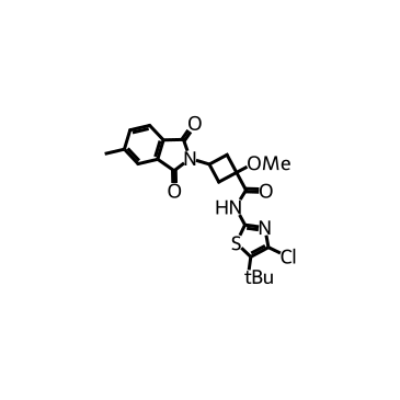 COC1(C(=O)Nc2nc(Cl)c(C(C)(C)C)s2)CC(N2C(=O)c3ccc(C)cc3C2=O)C1